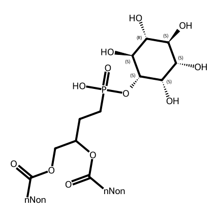 CCCCCCCCCC(=O)OCC(CCP(=O)(O)O[C@@H]1[C@@H](O)[C@H](O)[C@@H](O)[C@H](O)[C@@H]1O)OC(=O)CCCCCCCCC